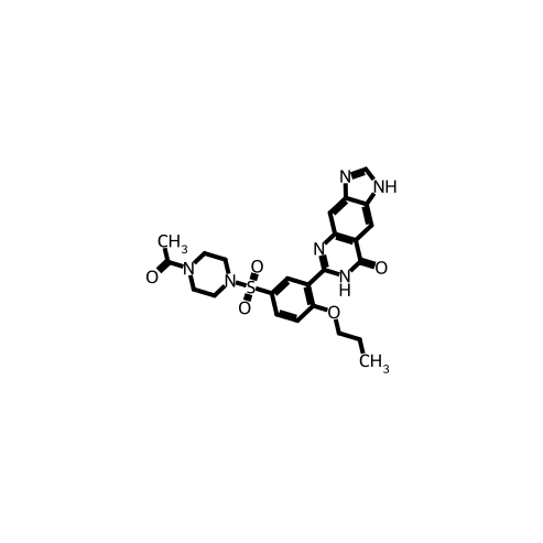 CCCOc1ccc(S(=O)(=O)N2CCN(C(C)=O)CC2)cc1-c1nc2cc3nc[nH]c3cc2c(=O)[nH]1